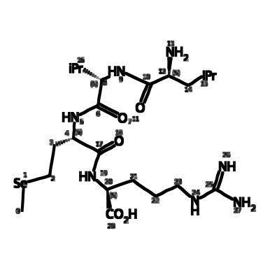 C[Se]CC[C@H](NC(=O)[C@@H](NC(=O)[C@@H](N)CC(C)C)C(C)C)C(=O)N[C@@H](CCCNC(=N)N)C(=O)O